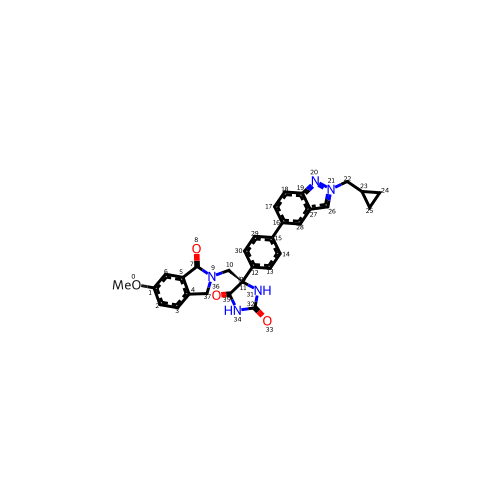 COc1ccc2c(c1)C(=O)N(C[C@@]1(c3ccc(-c4ccc5nn(CC6CC6)cc5c4)cc3)NC(=O)NC1=O)C2